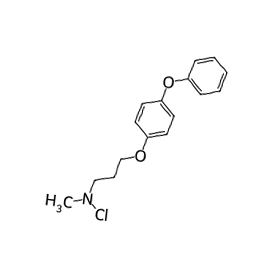 CN(Cl)CCCOc1ccc(Oc2ccccc2)cc1